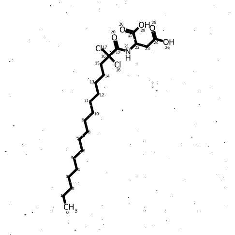 CCCCCCCCCCCCCCCCC(Cl)(Cl)C(=O)NC(CC(=O)O)C(=O)O